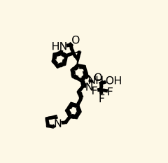 O=C(O)C(F)(F)F.O=C1Nc2ccccc2[C@]12C[C@H]2c1ccc2c(/C=C/c3ccc(CN4CCCC4)cc3)n[nH]c2c1